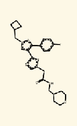 O=C(Cc1csc(-c2cn(CC3CCC3)nc2-c2ccc(F)cc2)n1)NCC1CCOCC1